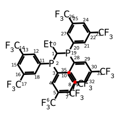 CCC(P(c1cc(C(F)(F)F)cc(C(F)(F)F)c1)c1cc(C(F)(F)F)cc(C(F)(F)F)c1)P(c1cc(C(F)(F)F)cc(C(F)(F)F)c1)c1cc(C(F)(F)F)cc(C(F)(F)F)c1